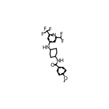 COc1ccc(C(=O)NC2CCC(Nc3cc(C(F)F)nc(C(F)(F)F)c3)CC2)cc1